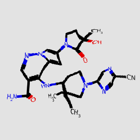 CC1(O)CCN(c2cc3c(NC4CCN(c5cnc(C#N)cn5)CC4(C)C)c(C(N)=O)cnn3c2)C1=O